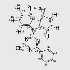 [2H]c1c([2H])c([2H])c2c(c1[2H])c1c([2H])c([2H])c([2H])c([2H])c1n2-c1nc(Cl)nc(-c2ccccc2)n1